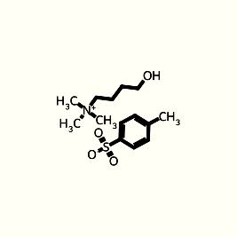 C[N+](C)(C)CCCCO.Cc1ccc(S(=O)(=O)[O-])cc1